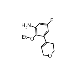 CCOc1c(N)cc(F)cc1C1=CCOCC1